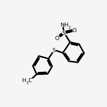 Cc1ccc(Sc2ccccc2S(N)(=O)=O)cc1